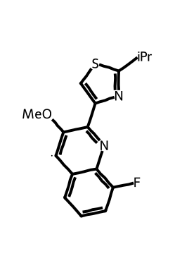 COc1[c]c2cccc(F)c2nc1-c1csc(C(C)C)n1